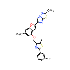 CCc1cccc(-c2nc(COc3cc(OC)cc4oc(-c5cn6nc(OC)sc6n5)cc34)c(C)s2)c1